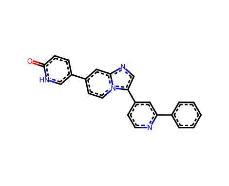 O=c1ccc(-c2ccn3c(-c4ccnc(-c5ccccc5)c4)cnc3c2)c[nH]1